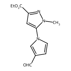 CCOC(=O)c1cc(-n2ccc(C=O)c2)n(C)n1